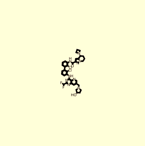 O=C(Nc1cccc(-c2cccc(Nc3nc(C(F)F)nc4cc(CN5CC[C@@H](O)C5)cnc34)c2Cl)c1Cl)c1cc2n(n1)CCC[C@@H]2N1CCC1